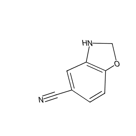 N#Cc1ccc2c(c1)NCO2